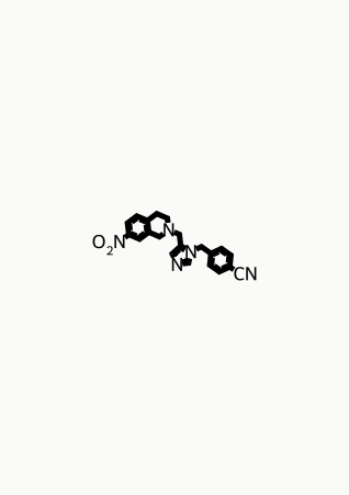 N#Cc1ccc(Cn2cncc2CN2CCc3ccc([N+](=O)[O-])cc3C2)cc1